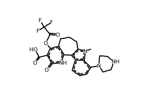 Cn1c2c(c3cccc(N4CCNCC4)c31)-c1[nH]c(=O)c(C(=O)O)c(OC(=O)C(F)(F)F)c1CCC2